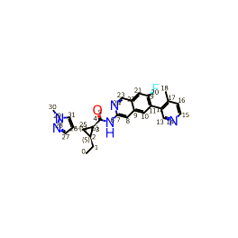 CC[C@@H]1[C@H](C(=O)Nc2cc3cc(-c4cnccc4C)c(F)cc3cn2)[C@H]1c1cnn(C)c1